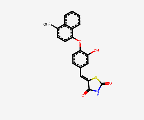 O=Cc1ccc(Oc2ccc(/C=C3\SC(=O)NC3=O)cc2O)c2ccccc12